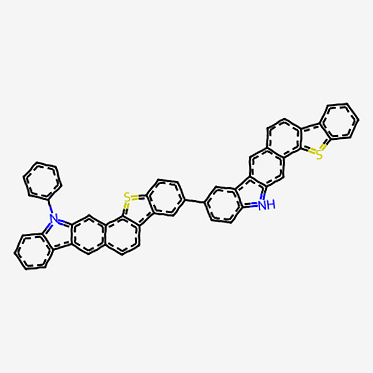 c1ccc(-n2c3ccccc3c3cc4ccc5c6cc(-c7ccc8[nH]c9cc%10c(ccc%11c%12ccccc%12sc%10%11)cc9c8c7)ccc6sc5c4cc32)cc1